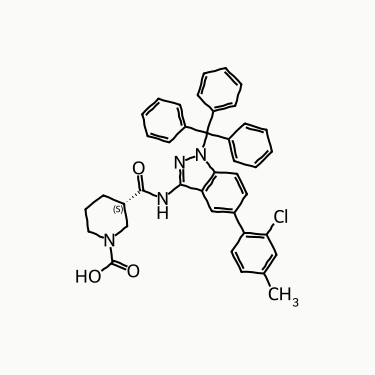 Cc1ccc(-c2ccc3c(c2)c(NC(=O)[C@H]2CCCN(C(=O)O)C2)nn3C(c2ccccc2)(c2ccccc2)c2ccccc2)c(Cl)c1